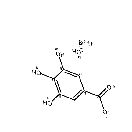 O=C([O-])c1cc(O)c(O)c(O)c1.[BiH+2].[OH-]